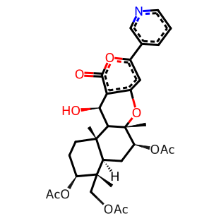 CC(=O)OC[C@]1(C)[C@@H](OC(C)=O)CC[C@]2(C)C3[C@@H](O)c4c(cc(-c5cccnc5)oc4=O)O[C@]3(C)[C@@H](OC(C)=O)C[C@@H]12